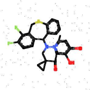 Cc1cc(=O)c(O)c2n1N(C1c3ccccc3SCc3c1ccc(F)c3F)CC1(CC1)C2=O